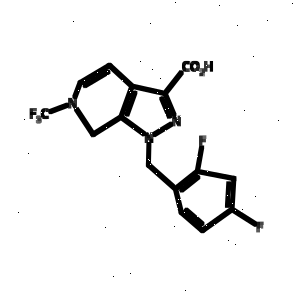 O=C(O)c1nn(Cc2ccc(F)cc2F)c2c1C=CN(C(F)(F)F)C2